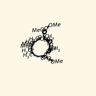 COCCOCCOC1C[C@@H]2CC[C@@H](C)[C@@](O)(O2)C(=O)C(=O)N2CCCC[C@H]2C(=O)O[C@H]([C@H](C)C[C@@H]2CC[C@@H](OCCOC)[C@H](OC)C2)CC(=O)[C@H](C)/C=C(\C)[C@@H](OC)[C@@H](OC)C(=O)[C@H](C)C[C@H](C)/C=C/C=C/C=C/1C